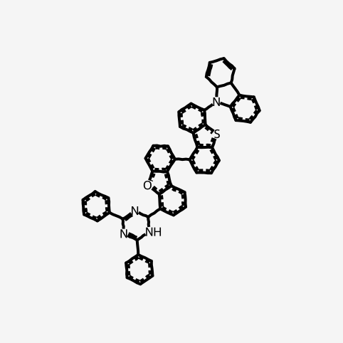 C1=CC2c3ccccc3N(c3cccc4c3sc3cccc(-c5cccc6oc7c(C8N=C(c9ccccc9)N=C(c9ccccc9)N8)cccc7c56)c34)C2C=C1